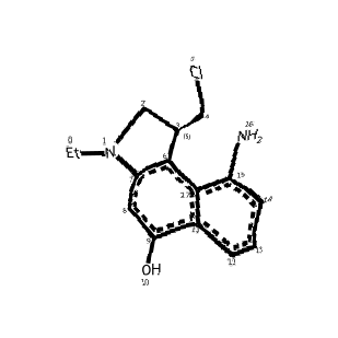 CCN1C[C@@H](CCl)c2c1cc(O)c1cccc(N)c21